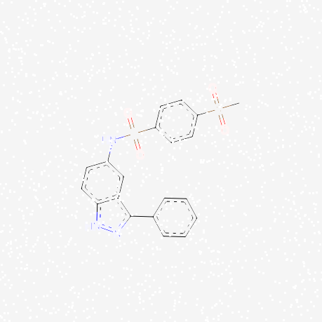 CS(=O)(=O)c1ccc(S(=O)(=O)Nc2ccc3[nH]nc(-c4ccccc4)c3c2)cc1